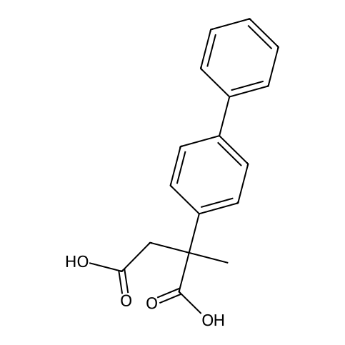 CC(CC(=O)O)(C(=O)O)c1ccc(-c2ccccc2)cc1